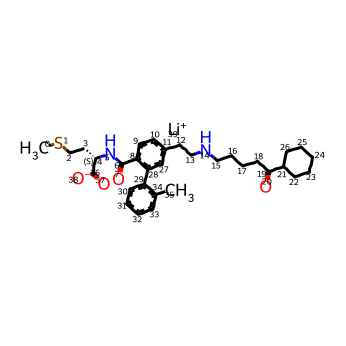 CSCC[C@H](NC(=O)c1ccc(CCNCCCCC(=O)C2CCCCC2)cc1-c1ccccc1C)C(=O)[O-].[Li+]